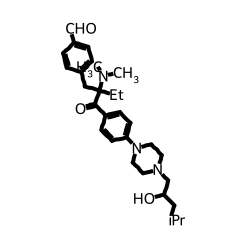 CCC(Cc1ccc(C=O)cc1)(C(=O)c1ccc(N2CCN(CC(O)CC(C)C)CC2)cc1)N(C)C